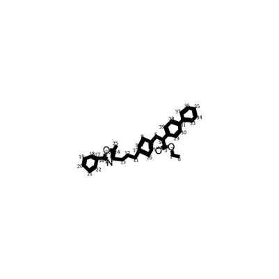 CCOC(=O)C(Cc1ccc(CCCc2nc(-c3ccccc3)oc2C)cc1)c1ccc(-c2ccccc2)cc1